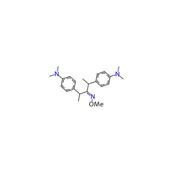 CON=C(C(C)c1ccc(N(C)C)cc1)C(C)c1ccc(N(C)C)cc1